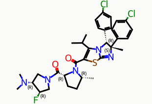 CC(C)C1=C(C(=O)N2[C@H](C)CC[C@@H]2C(=O)N2C[C@@H](F)[C@H](N(C)C)C2)SC2=N[C@@](C)(c3ccc(Cl)cc3)[C@@H](c3ccc(Cl)cc3)N21